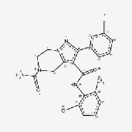 NC(=O)N1CCn2nc(-c3cccc(F)c3)c(C(=O)Nc3c(Cl)cccc3C(F)(F)F)c2C1